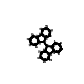 c1ccc2c(c1)[C](C1c3ccccc3-c3ccccc31)c1ccccc1-2